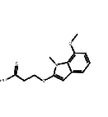 COc1cccc2cc(SCCC(=O)O)n(C)c12